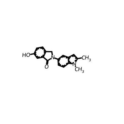 Cc1cc2cc(N3Cc4ccc(O)cc4C3=O)ccc2n1C